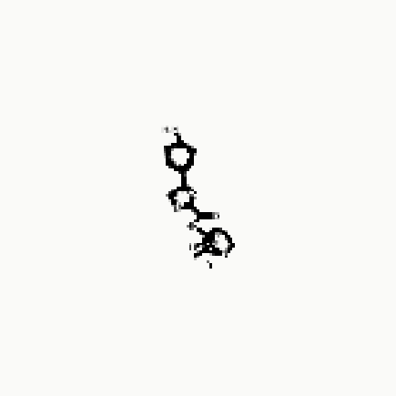 C[C@H]1[C@H](NC(=O)c2ncc(-c3ccc(N)cc3)s2)C2CCN1CC2